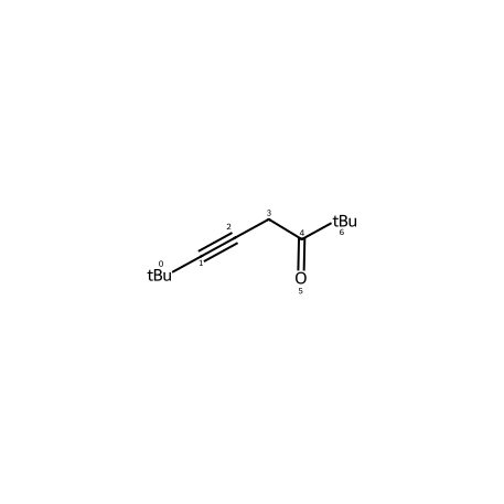 CC(C)(C)C#CCC(=O)C(C)(C)C